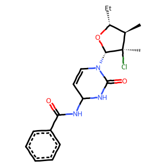 CC[C@H]1O[C@@H](N2C=CC(NC(=O)c3ccccc3)NC2=O)[C@](C)(Cl)[C@@H]1C